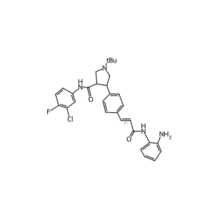 CC(C)(C)N1CC(C(=O)Nc2ccc(F)c(Cl)c2)C(c2ccc(/C=C/C(=O)Nc3ccccc3N)cc2)C1